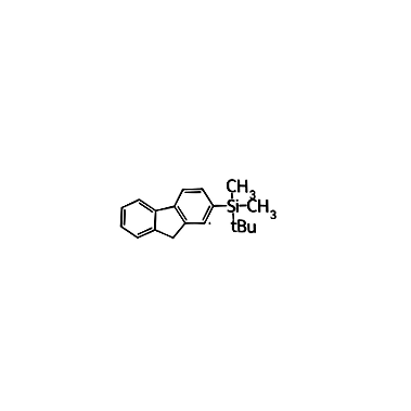 CC(C)(C)[Si](C)(C)c1[c]c2c(cc1)-c1ccccc1C2